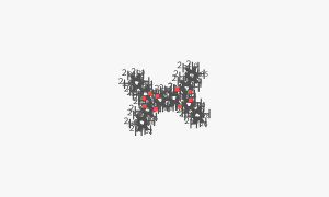 [2H]c1c([2H])c([2H])c(-c2c([2H])c([2H])c(N(c3c([2H])c([2H])c(-c4c([2H])c([2H])c([2H])c([2H])c4[2H])c([2H])c3[2H])c3c([2H])c([2H])c(-c4c([2H])c([2H])c(N(c5c([2H])c([2H])c(-c6c([2H])c([2H])c([2H])c([2H])c6[2H])c([2H])c5[2H])c5c([2H])c([2H])c(-c6c([2H])c([2H])c([2H])c([2H])c6[2H])c([2H])c5[2H])c([2H])c4[2H])c([2H])c3[2H])c([2H])c2[2H])c([2H])c1[2H]